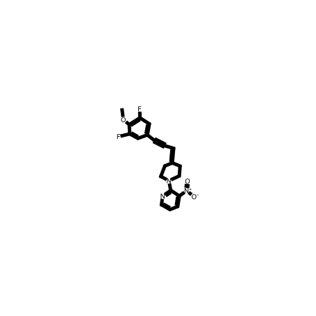 COc1c(F)cc(C#CC=C2CCN(c3ncccc3[N+](=O)[O-])CC2)cc1F